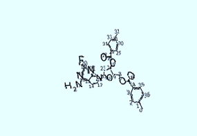 Cc1ccc(C(=O)OCC2OC(n3ccc4c(N)nc(F)nc43)CC2OC(=O)c2ccc(C)cc2)cc1